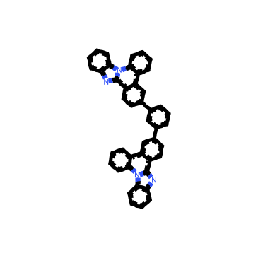 c1cc(-c2ccc3c(c2)c2ccccc2n2c4ccccc4nc32)cc(-c2ccc3c(c2)c2ccccc2n2c4ccccc4nc32)c1